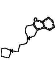 c1ccc2c3c(oc2c1)CCN(CCCN1CCCC1)C3